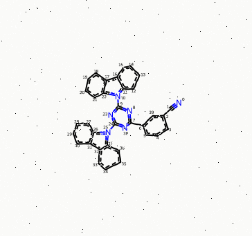 N#Cc1cccc(-c2nc(-n3c4ccccc4c4ccccc43)nc(-n3c4ccccc4c4ccccc43)n2)c1